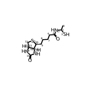 CC(S)NC(=O)CCCC[C@@H]1SC[C@@H]2NC(=O)N[C@@H]21